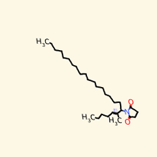 CCCC/C=C(\C)C(CCCCCCCCCCCCCCCCCC)N1C(=O)CCC1=O